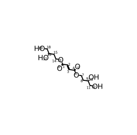 O=C(/C=C/C(=O)OCC[C@@H](O)CO)OCC[C@@H](O)CO